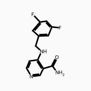 NC(=O)c1cnccc1NCc1cc(F)cc(F)c1